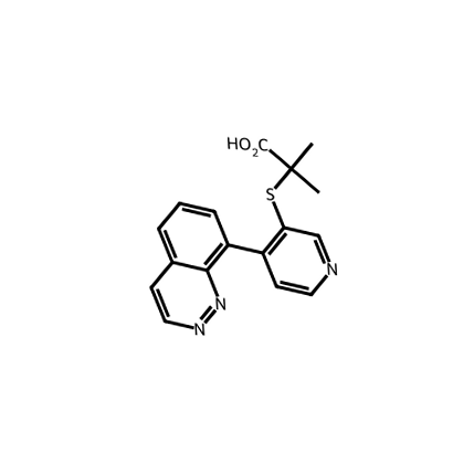 CC(C)(Sc1cnccc1-c1cccc2ccnnc12)C(=O)O